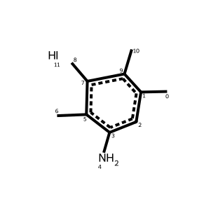 Cc1cc(N)c(C)c(C)c1C.I